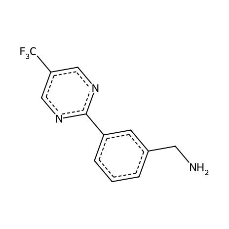 NCc1cccc(-c2ncc(C(F)(F)F)cn2)c1